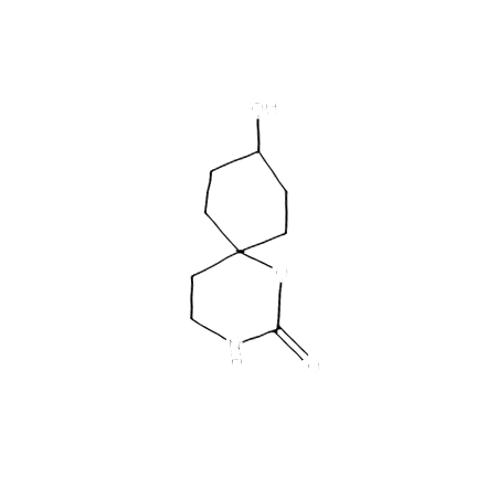 O=C1NCCC2(CCC(O)CC2)O1